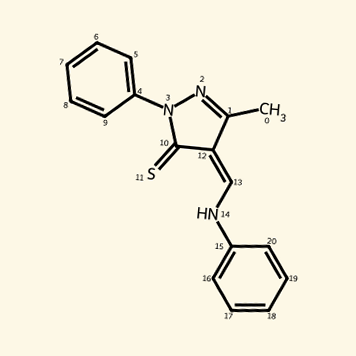 CC1=NN(c2ccccc2)C(=S)C1=CNc1ccccc1